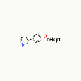 CCCCCCCOc1ccc(-c2cccnc2)cc1